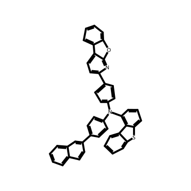 c1ccc2cc(-c3ccc(N(c4ccc(-c5ccc6c(n5)oc5ccccc56)cc4)c4cccc5sc6ccccc6c45)cc3)ccc2c1